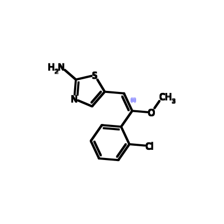 CO/C(=C/c1cnc(N)s1)c1ccccc1Cl